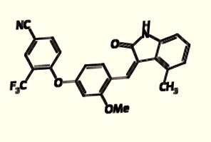 COc1cc(Oc2ccc(C#N)cc2C(F)(F)F)ccc1C=C1C(=O)Nc2cccc(C)c21